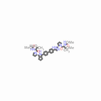 COC(=O)N[C@H](C(=O)N1CCC[C@H]1c1ncc(-c2ccc(-c3ccc(-c4[nH]c([C@@H]5CCCN5C(=O)[C@@H](NC(=O)OC)[C@@H](C)OC)c5c4CCC5)cc3)cc2)[nH]1)[C@@H](C)OC